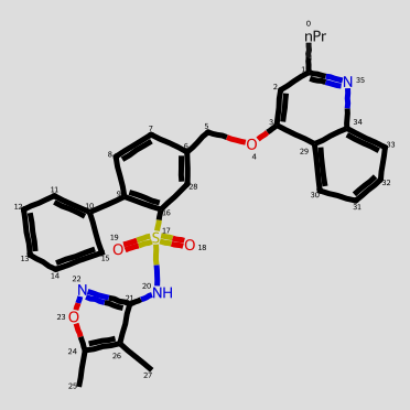 CCCc1cc(OCc2ccc(-c3ccccc3)c(S(=O)(=O)Nc3noc(C)c3C)c2)c2ccccc2n1